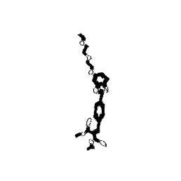 CCOCCOCCOc1ccc2nc(-c3ccc(C=C(C(=O)OCC)C(=O)OCC)cc3)oc2c1